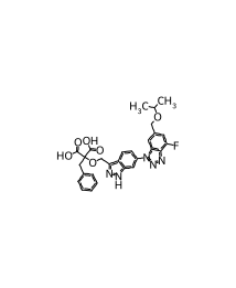 CC(C)OCc1cc(F)c2nnn(-c3ccc4c(COC(Cc5ccccc5)(C(=O)O)C(=O)O)n[nH]c4c3)c2c1